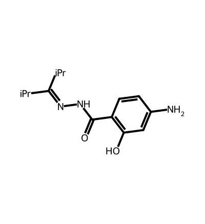 CC(C)C(=NNC(=O)c1ccc(N)cc1O)C(C)C